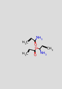 C=CC(=O)OC(N)C=C.C=CC(N)=O